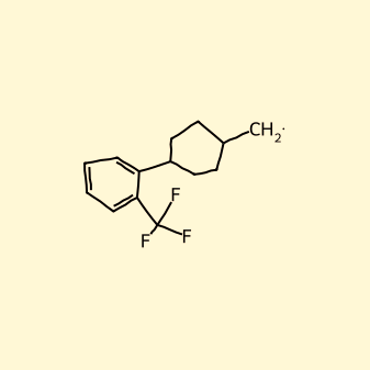 [CH2]C1CCC(c2ccccc2C(F)(F)F)CC1